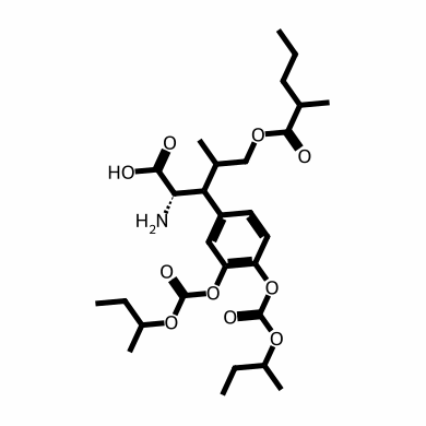 CCCC(C)C(=O)OCC(C)C(c1ccc(OC(=O)OC(C)CC)c(OC(=O)OC(C)CC)c1)[C@H](N)C(=O)O